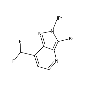 CC(C)n1nc2c(C(F)F)ccnc2c1Br